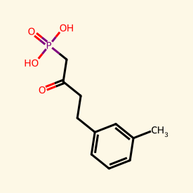 Cc1cccc(CCC(=O)CP(=O)(O)O)c1